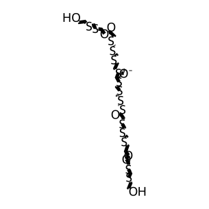 O=C(CSCSCSCC[S+]([O-])CSCSCSCSC(=O)CSCSCSCCOOCSCSCCO)OCSCSCCO